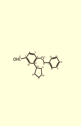 O=Cc1ccc(OCc2ccccc2)c(C2CCCC2)c1